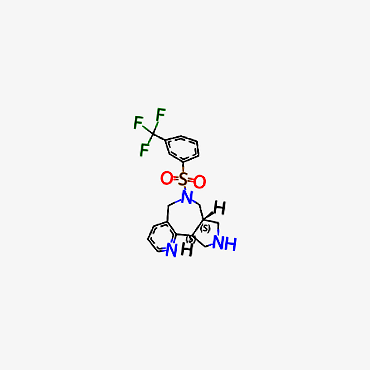 O=S(=O)(c1cccc(C(F)(F)F)c1)N1Cc2cccnc2[C@@H]2CNC[C@H]2C1